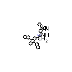 C=C(/C=C(\C=N)c1ccc2c(c1)c1cnccc1n2-c1ccccc1)c1ccc2c(-c3ccc4ccccc4c3)c3ccccc3c(-c3ccc4ccccc4c3)c2c1